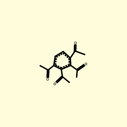 CC(=O)c1[c]cc(C(C)=O)c(C(C)=O)c1C(C)=O